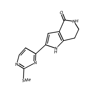 CSc1nccc(-c2cc3c([nH]2)CCNC3=O)n1